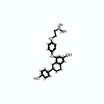 CC(C)N(CCOc1ccc(Oc2cc(O)cc3c2CC(c2ccc(O)cc2)CC3)cc1)C(C)C